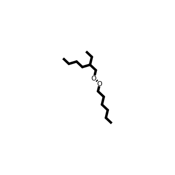 CCCCCCOOCC(CC)CCCC